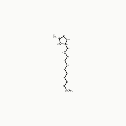 CCCCCCCCCCCCCCCCCCOC[C@@H]1CC[C@@H](CC)O1